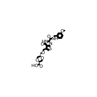 COc1cccc(CNC(=O)c2nc3scc(COC[C@H]4CO[C@H](C(=O)O)CO4)c3c(=O)[nH]2)c1